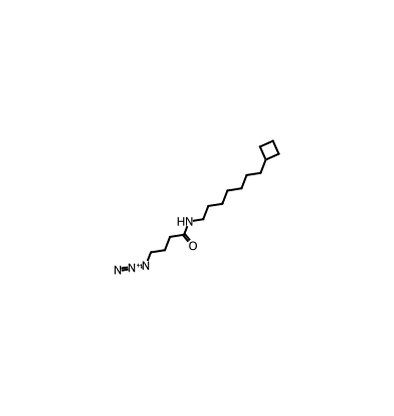 [N-]=[N+]=NCCCC(=O)NCCCCCCCC1CCC1